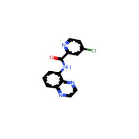 O=C(Nc1cccc2nccnc12)c1cc(Cl)ccn1